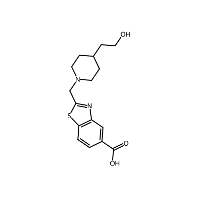 O=C(O)c1ccc2sc(CN3CCC(CCO)CC3)nc2c1